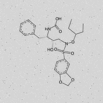 CCC(CC)ON(C[C@H](O)[C@H](Cc1ccccc1)NC(=O)O)S(=O)(=O)c1ccc2c(c1)OCO2